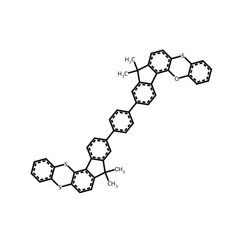 CC1(C)c2cc(-c3ccc(-c4ccc5c(c4)C(C)(C)c4ccc6c(c4-5)Sc4ccccc4S6)cc3)ccc2-c2c1ccc1c2Oc2ccccc2S1